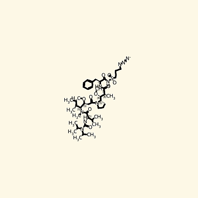 CC[C@H](C)[C@@H]([C@H](CC(=O)N1CCC[C@H]1[C@H](OC)[C@@H](C)C(=O)N[C@@H](Cc1ccccc1)C(=O)NS(=O)(=O)CCCN=[N+]=[N-])OC)N(C)C(=O)[C@@H](NC(=O)N(C(C)C)C(C)C)C(C)C